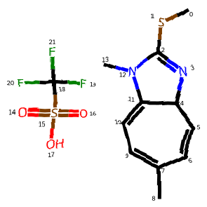 CSC1=NC2C=CC(C)=CC=C2N1C.O=S(=O)(O)C(F)(F)F